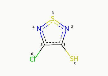 Sc1nsnc1Cl